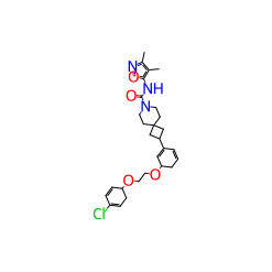 Cc1noc(NC(=O)N2CCC3(CC2)CC(C2=CC(OCCOC4C=CC(Cl)=CC4)CC=C2)C3)c1C